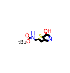 CC(C)(C)OC(=O)NCc1cc2cncc(O)c2s1